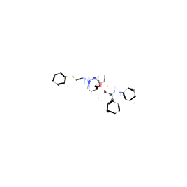 O=C(O[C@H]1C[N+]2(CCSc3ccccc3)CCC1CC2)[C@H](Nc1ccccc1)c1ccccc1